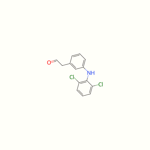 O=CCc1cccc(Nc2c(Cl)cccc2Cl)c1